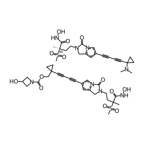 CC(CCN1Cc2cc(C#CC#CC3(COC(=O)N4CC(O)C4)CC3)cn2C1=O)(C(=O)NO)S(C)(=O)=O.CN(C)C1(C#CC#Cc2cc3n(c2)C(=O)N(CC[C@](C)(C(=O)NO)S(C)(=O)=O)C3)CC1